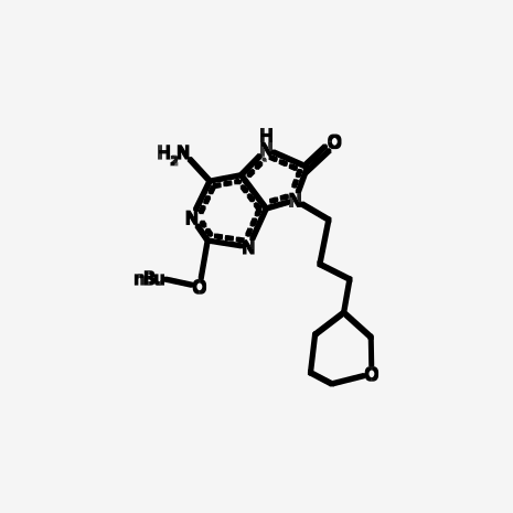 CCCCOc1nc(N)c2[nH]c(=O)n(CCCC3CCCOC3)c2n1